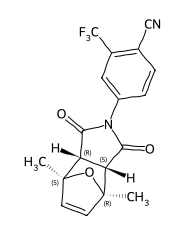 C[C@]12C=C[C@](C)(O1)[C@@H]1C(=O)N(c3ccc(C#N)c(C(F)(F)F)c3)C(=O)[C@@H]12